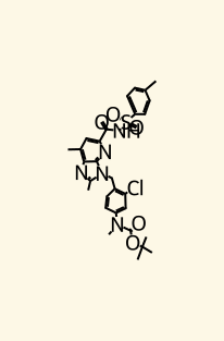 Cc1ccc(S(=O)(=O)NC(=O)c2cc(C)c3nc(C)n(Cc4ccc(N(C)C(=O)OC(C)(C)C)cc4Cl)c3n2)cc1